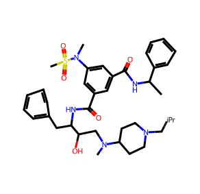 CC(C)CN1CCC(N(C)CC(O)C(Cc2ccccc2)NC(=O)c2cc(C(=O)NC(C)c3ccccc3)cc(N(C)S(C)(=O)=O)c2)CC1